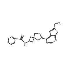 O=C(NC1CC2(CCN(c3ncnc4sc(CC(F)(F)F)cc34)C2)C1)c1ccccc1